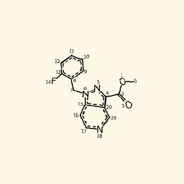 COC(=O)c1nn(Cc2ccccc2F)c2ccncc12